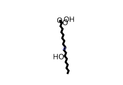 CCCCCCC(O)C/C=C/CCCCCCCC(=O)OO